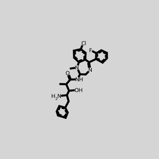 CC(C(=O)NC1CN=C(c2ccccc2F)c2cc(Cl)ccc2N1C)C(O)C(N)Cc1ccccc1